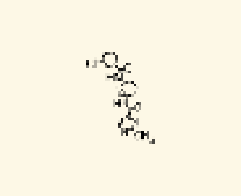 Cc1nccc(C(=O)NC23CCCC(NC(=O)c4cccc(Cl)c4)(CC2)C3)n1